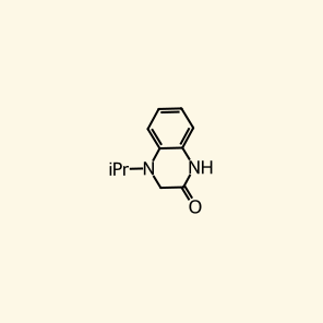 CC(C)N1CC(=O)Nc2ccccc21